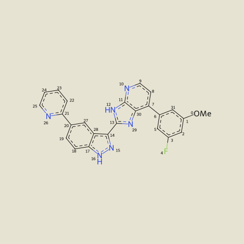 COc1cc(F)cc(-c2ccnc3[nH]c(-c4n[nH]c5ccc(-c6ccccn6)cc45)nc23)c1